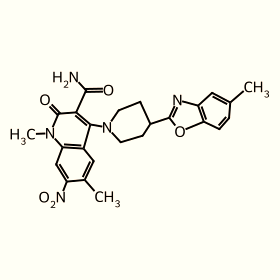 Cc1ccc2oc(C3CCN(c4c(C(N)=O)c(=O)n(C)c5cc([N+](=O)[O-])c(C)cc45)CC3)nc2c1